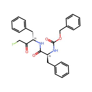 O=C(N[C@@H](Cc1ccccc1)C(=O)N[C@@H](Cc1ccccc1)C(=O)CF)OCc1ccccc1